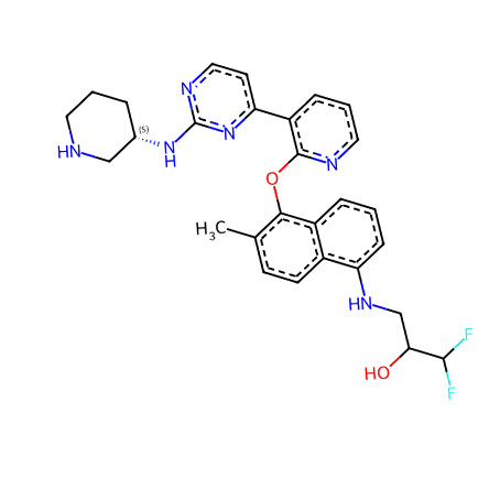 Cc1ccc2c(NCC(O)C(F)F)cccc2c1Oc1ncccc1-c1ccnc(N[C@H]2CCCNC2)n1